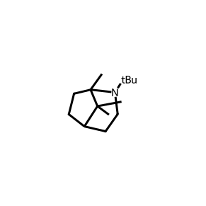 CC(C)(C)N1CCC2CCC1(C)C2(C)C